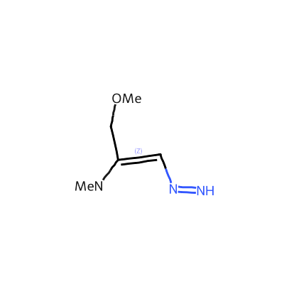 CN/C(=C\N=N)COC